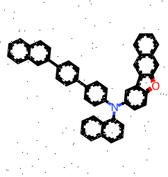 c1ccc2cc(-c3ccc(-c4ccc(N(c5ccc6oc7cc8ccccc8cc7c6c5)c5cccc6ccccc56)cc4)cc3)ccc2c1